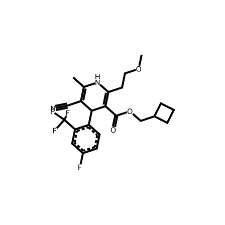 COCCC1=C(C(=O)OCC2CCC2)C(c2ccc(F)cc2C(F)(F)F)C(C#N)=C(C)N1